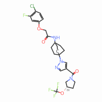 O=C(COc1ccc(Cl)c(F)c1)NC12CCC(n3cc(C(=O)N4CC[C@H](OC(F)(F)F)C4)cn3)(CC1)CC2